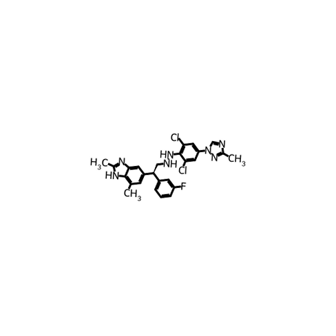 Cc1ncn(-c2cc(Cl)c(NNC[C@@H](c3cccc(F)c3)c3cc(C)c4[nH]c(C)nc4c3)c(Cl)c2)n1